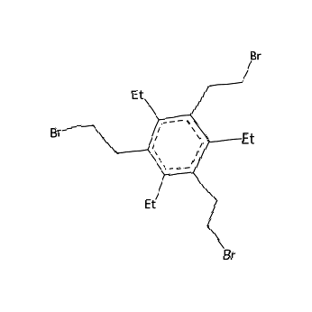 CCc1c(CCBr)c(CC)c(CCBr)c(CC)c1CCBr